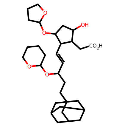 O=C(O)CC1C(O)CC(OC2CCCO2)C1C=CC(CCC12CC3CC(CC(C3)C1)C2)OC1CCCCO1